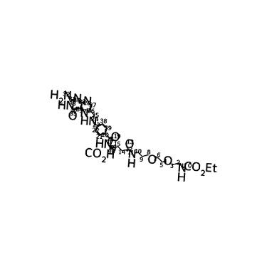 CCOC(=O)NCCOCCOCCCNC(=O)CC[C@@H](NC(=O)c1ccc(NCc2cnc3nc(N)[nH]c(=O)c3n2)cc1)C(=O)O